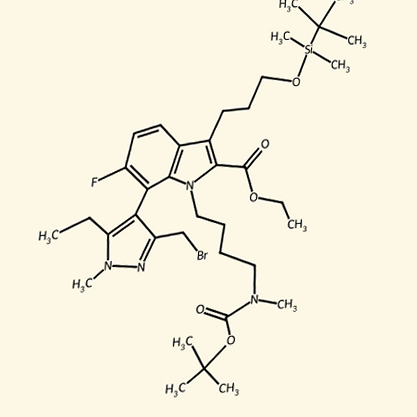 CCOC(=O)c1c(CCCO[Si](C)(C)C(C)(C)C)c2ccc(F)c(-c3c(CBr)nn(C)c3CC)c2n1CCCCN(C)C(=O)OC(C)(C)C